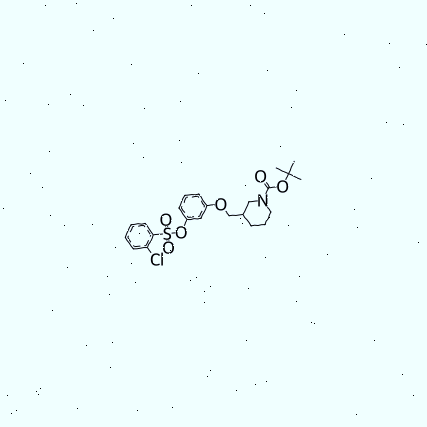 CC(C)(C)OC(=O)N1CCCC(COc2cccc(OS(=O)(=O)c3ccccc3Cl)c2)C1